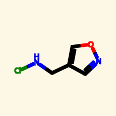 ClNCc1cnoc1